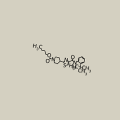 CCCCOC(=O)N1CCC(c2nc(C(=O)Nc3ccccc3C(C)(C)C)cs2)CC1